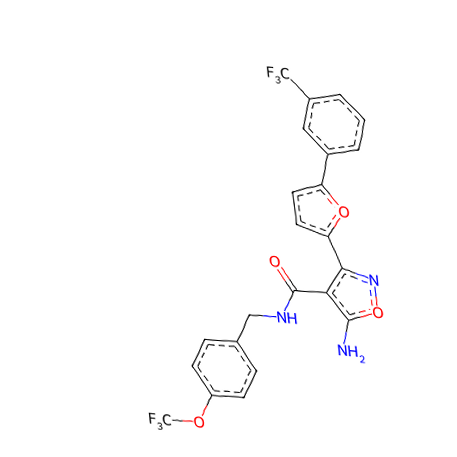 Nc1onc(-c2ccc(-c3cccc(C(F)(F)F)c3)o2)c1C(=O)NCc1ccc(OC(F)(F)F)cc1